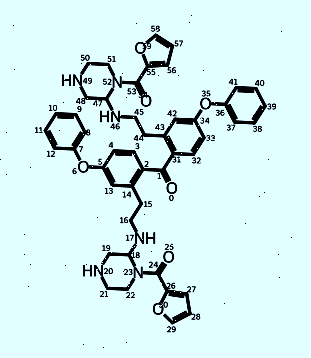 O=C(c1ccc(Oc2ccccc2)cc1CCNC1CNCCN1C(=O)c1ccco1)c1ccc(Oc2ccccc2)cc1CCNC1CNCCN1C(=O)c1ccco1